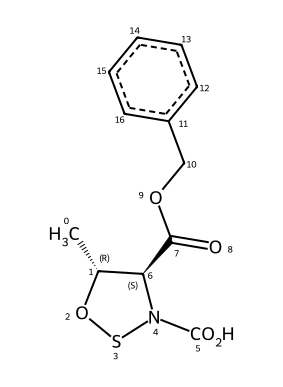 C[C@H]1OSN(C(=O)O)[C@@H]1C(=O)OCc1ccccc1